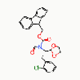 O=CN(C(=O)OCC1c2ccccc2-c2ccccc21)[C@@H](Cc1ccccc1Cl)C1OCCO1